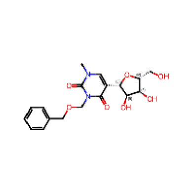 Cn1cc([C@@H]2O[C@H](CO)[C@@H](O)[C@H]2O)c(=O)n(COCc2ccccc2)c1=O